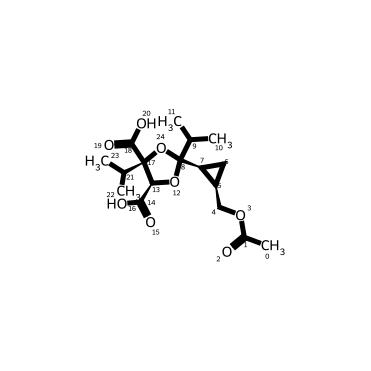 CC(=O)OC[C@@H]1C[C@@H]1C1(C(C)C)O[C@@H](C(=O)O)[C@@](C(=O)O)(C(C)C)O1